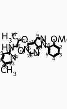 COc1ccccc1-n1ncc2c(O[C@H](C)C(=O)Nc3ccc(C)cn3)ncnc21